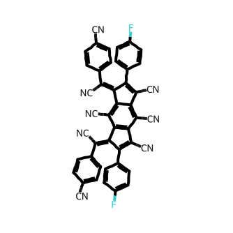 N#CC1=C(c2ccc(F)cc2)/C(=C(/C#N)c2ccc(C#N)cc2)c2c(C#N)c3c(c(C#N)c21)C(C#N)=C(c1ccc(F)cc1)/C3=C(/C#N)c1ccc(C#N)cc1